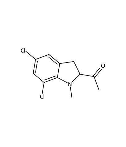 CC(=O)C1Cc2cc(Cl)cc(Cl)c2N1C